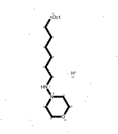 CCCCCCCCCCCCCCNN1CCOCC1.[H+]